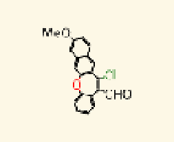 COc1ccc2cc3c(cc2c1)Oc1ccccc1C(C=O)=C3Cl